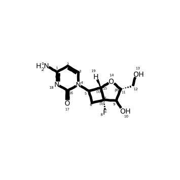 Nc1ccn(C2C[C@]3(F)C(O)[C@@H](CO)O[C@@H]23)c(=O)n1